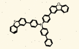 c1ccc2sc3ccc(-c4ccc(N(c5ccc(-c6ccccc6)cc5)c5ccc(-c6ccc7oc8ccccc8c7c6)cc5)cc4)cc3c2c#1